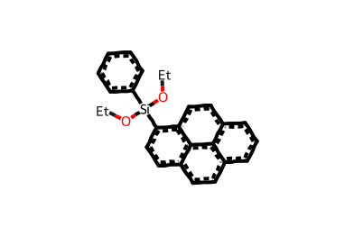 CCO[Si](OCC)(c1ccccc1)c1ccc2ccc3cccc4ccc1c2c34